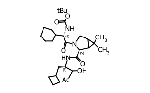 CC(=O)C(O)[C@@H](CC1CCC1)NC(=O)[C@@H]1C2C(CN1C(=O)[C@@H](NC(=O)OC(C)(C)C)C1CCCCC1)C2(C)C